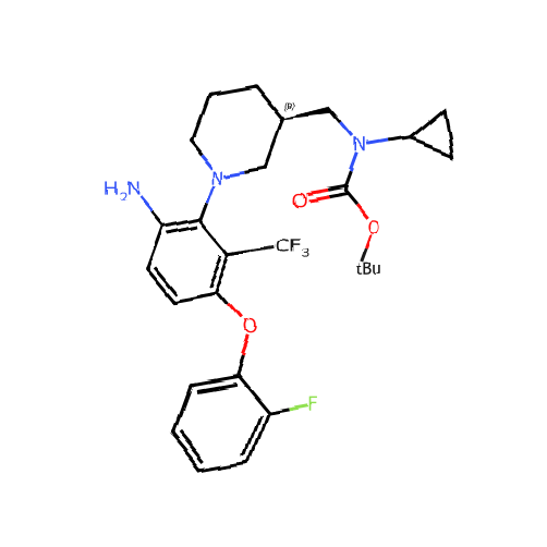 CC(C)(C)OC(=O)N(C[C@@H]1CCCN(c2c(N)ccc(Oc3ccccc3F)c2C(F)(F)F)C1)C1CC1